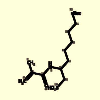 C=C(C)C(=O)NC(CCCCCCCCCCCCCCC)CS(=O)(=O)O